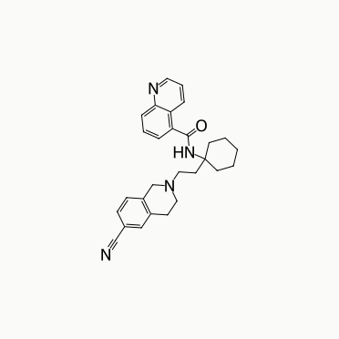 N#Cc1ccc2c(c1)CCN(CCC1(NC(=O)c3cccc4ncccc34)CCCCC1)C2